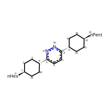 CCCCCC[C@H]1CC[C@H](c2ccc([C@H]3CC[C@H](CCCCC)CC3)nn2)CC1